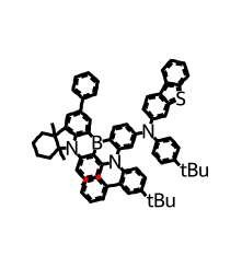 Cc1cc2c3c(c1)N1c4c(cc(-c5ccccc5)cc4C4(C)CCCCC14C)B3c1ccc(N(c3ccc(C(C)(C)C)cc3)c3ccc4c(c3)sc3ccccc34)cc1N2c1ccc(C(C)(C)C)cc1-c1ccccc1